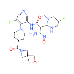 CN1CC(F)CNC1C(C(=O)Nc1cncc(F)c1N1CCC(C(=O)N2CC3(COC3)C2)CC1)C(N)N=O